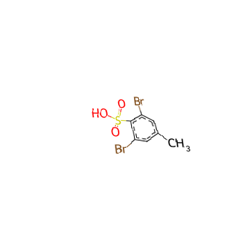 Cc1cc(Br)c(S(=O)(=O)O)c(Br)c1